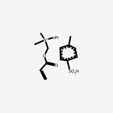 C=CC(=O)OC[N+](C)(C)CCC.Cc1ccc(S(=O)(=O)O)cc1